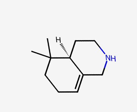 CC1(C)CCC=C2CNCC[C@@H]21